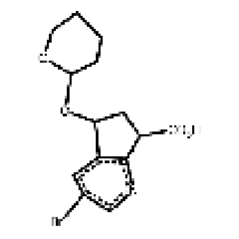 O=C(O)C1CC(OC2CCCCO2)c2cc(Br)cnc21